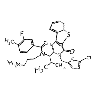 Cc1ccc(C(=O)N(CCCN)C(c2nc3c(sc4ccccc43)c(=O)n2Cc2ccc(Cl)s2)C(C)C)cc1F